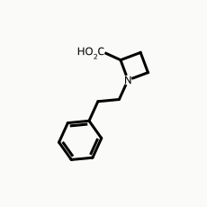 O=C(O)C1CCN1CCc1ccccc1